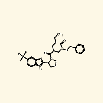 CCCCC(CN(C=O)OCc1ccccc1)C(=O)N1CCCC1c1nc2cc(C(F)(F)F)ccc2[nH]1